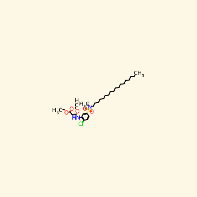 CCCCCCCCCCCCCCCCCCN(C)S(=O)(=O)c1ccc(Cl)c(N/C(=C/C(=O)OCC)OCC)c1